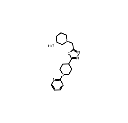 O[C@@H]1CCCN(Cc2nnc(C3CCN(c4ncccn4)CC3)o2)C1